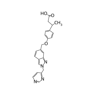 CC(CC(=O)O)c1ccc(OCc2ccc3cn(Cc4ccncn4)nc3c2)cc1